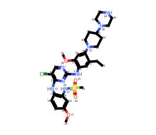 CCc1cc(Nc2ncc(Cl)c(Nc3ccc(OC)cc3NS(C)(=O)=O)n2)c(OC)cc1N1CCC(N2CCNCC2)CC1